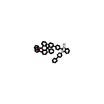 C1=C(c2ccccc2)CCC(N2c3ccccc3NC2c2ccc(-c3cccc(C4(c5ccccc5)c5ccccc5C5(c6ccccc6)c6ccccc6-c6cccc4c65)c3)cc2)=C1